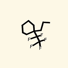 CCCC1(C(F)(F)C(F)(F)F)CCCCC1